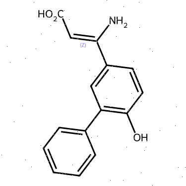 N/C(=C\C(=O)O)c1ccc(O)c(-c2ccccc2)c1